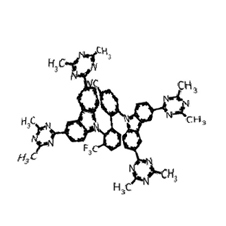 Cc1nc(C)nc(-c2ccc3c(c2)c2cc(-c4nc(C)nc(C)n4)ccc2n3-c2ccc(C#N)cc2-c2cccc(C(F)(F)F)c2-n2c3ccc(-c4nc(C)nc(C)n4)cc3c3cc(-c4nc(C)nc(C)n4)ccc32)n1